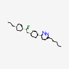 CCCCCc1ccc([C@H]2CC[C@H](CC(F)[C@H]3CC[C@H](CCC)CC3)CC2)nn1